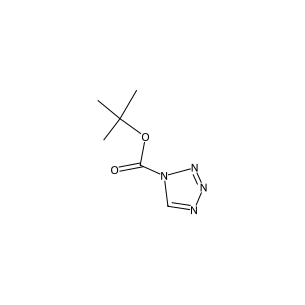 CC(C)(C)OC(=O)n1cnnn1